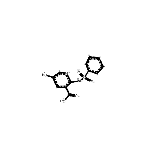 O=C(O)c1cc(O)cnc1NS(=O)(=O)c1ccccc1